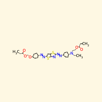 C=CC(=O)OCCN(CC)c1ccc(N=Nc2nc3sc(N=Nc4ccc(OCOC(=O)CC)cc4)cc3s2)cc1